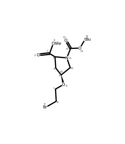 COC(=O)C1C[C@H](OCCBr)CN1C(=O)OC(C)(C)C